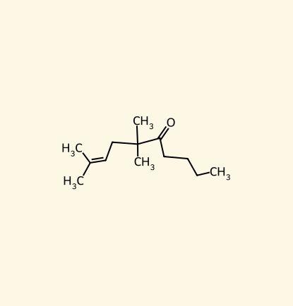 CCCCC(=O)C(C)(C)CC=C(C)C